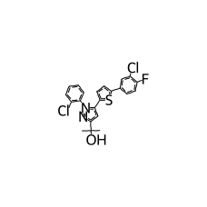 CC(C)(O)c1cc(-c2ccc(-c3ccc(F)c(Cl)c3)s2)n(-c2ccccc2Cl)n1